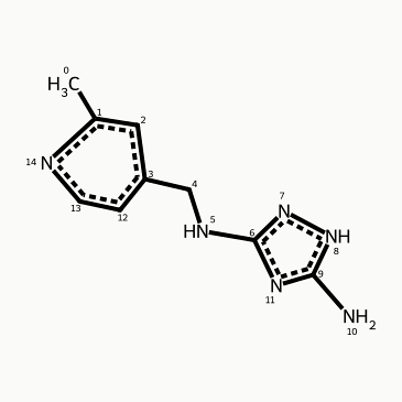 Cc1cc(CNc2n[nH]c(N)n2)ccn1